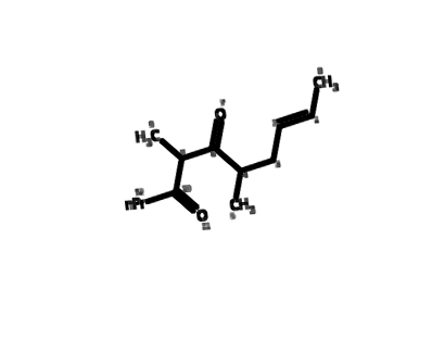 C/C=C/CC(C)C(=O)C(C)C(=O)CCC